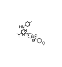 COc1ccc(S(=O)(=O)N2CCN(c3nc(Nc4ccc(C)cc4)cc(C(C)C)n3)CC2)cc1